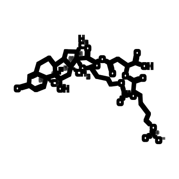 C[C@@H]1CC2C3CCC4=CC(=O)C=C[C@]4(C)[C@@]3(F)[C@@H](O)C[C@]2(C)[C@@]1(OC(=O)CCCO[N+](=O)[O-])C(=O)COC(=O)CC(OC(=O)CCCCCO[N+](=O)[O-])C(=O)O